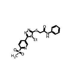 CCn1c(SCC(=O)Nc2ccccc2)nnc1-c1ccc(S(C)(=O)=O)nc1